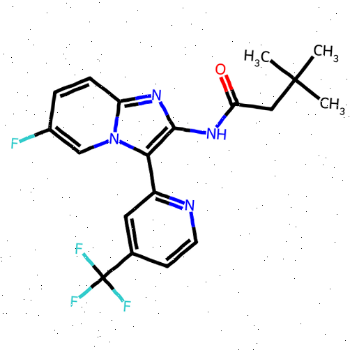 CC(C)(C)CC(=O)Nc1nc2ccc(F)cn2c1-c1cc(C(F)(F)F)ccn1